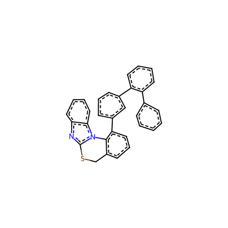 c1ccc(-c2ccccc2-c2cccc(-c3cccc4c3-n3c(nc5ccccc53)SC4)c2)cc1